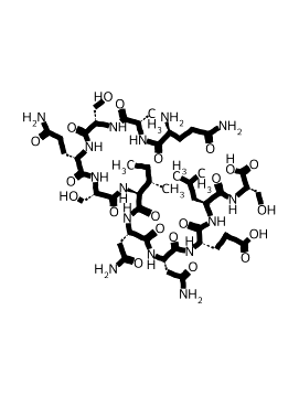 CC[C@H](C)[C@H](NC(=O)[C@H](CO)NC(=O)[C@H](CCC(N)=O)NC(=O)[C@H](CO)NC(=O)[C@H](C)NC(=O)[C@@H](N)CCC(N)=O)C(=O)N[C@@H](CC(N)=O)C(=O)N[C@@H](CC(N)=O)C(=O)N[C@@H](CCC(=O)O)C(=O)N[C@@H](CC(C)C)C(=O)N[C@@H](CO)C(=O)O